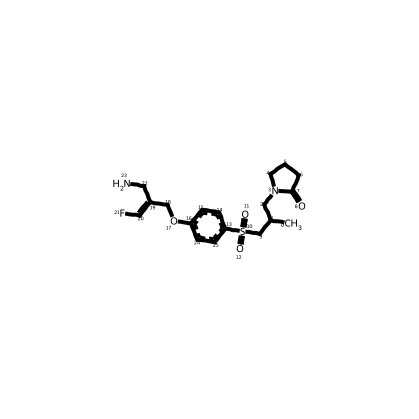 CC(CN1CCCC1=O)CS(=O)(=O)c1ccc(OCC(=CF)CN)cc1